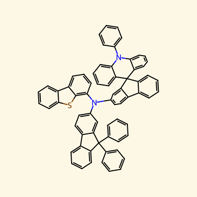 c1ccc(N2c3ccccc3C3(c4ccccc4-c4ccc(N(c5ccc6c(c5)C(c5ccccc5)(c5ccccc5)c5ccccc5-6)c5cccc6c5sc5ccccc56)cc43)c3ccccc32)cc1